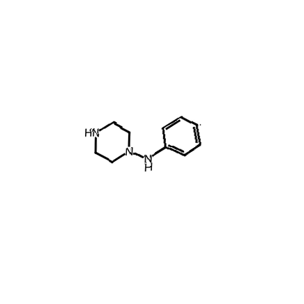 [c]1ccc(NN2CCNCC2)cc1